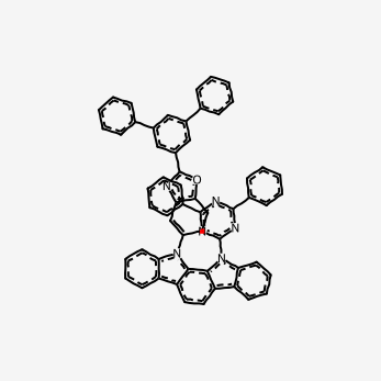 C1=C(n2c3ccccc3c3ccc4c5ccccc5n(-c5nc(-c6ccccc6)nc(-c6ccccc6)n5)c4c32)CCc2oc(-c3cc(-c4ccccc4)cc(-c4ccccc4)c3)nc21